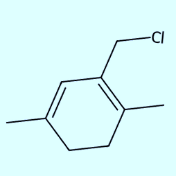 CC1=CC(CCl)=C(C)CC1